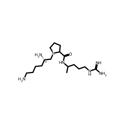 CC(CCCNC(=N)N)NC(=O)C1CCCN1C[C@@H](N)CCCCN